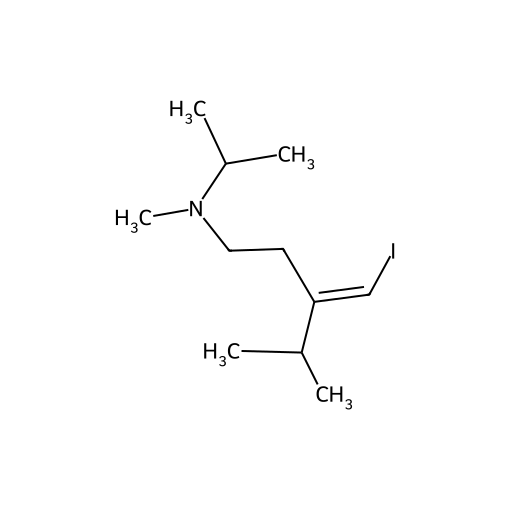 CC(C)/C(=C/I)CCN(C)C(C)C